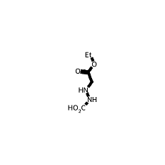 CCOC(=O)CNNC(=O)O